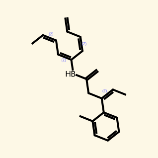 C=C\C=C/C(BC(=C)C/C(=C/C)c1ccccc1C)=C\C=C/C